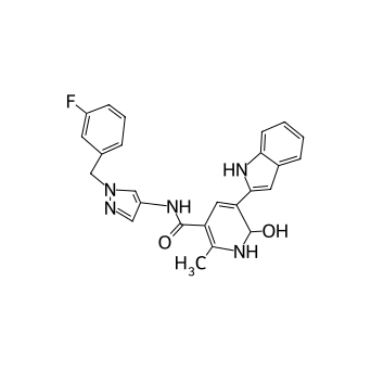 CC1=C(C(=O)Nc2cnn(Cc3cccc(F)c3)c2)C=C(c2cc3ccccc3[nH]2)C(O)N1